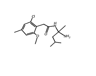 COc1cc(C)cc(Cl)c1CC(=O)NC(C)(N)CC(C)C